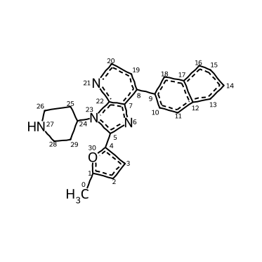 Cc1ccc(-c2nc3c(-c4ccc5ccccc5c4)ccnc3n2C2CCNCC2)o1